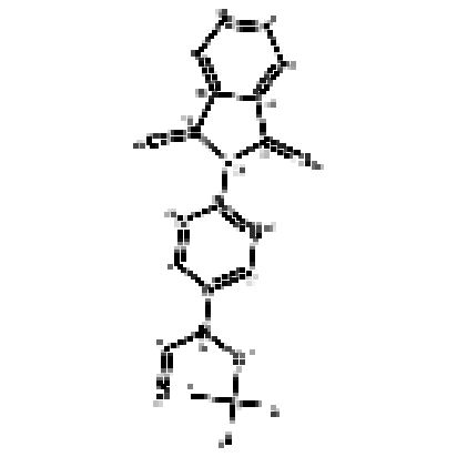 CC(C)(C)ON(C=O)c1cnc(N2C(=O)c3ccccc3C2=O)nc1